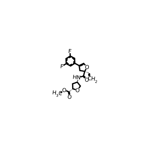 C=C[C@]1(C(=O)N[C@@H]2CO[C@H](C(=O)OC)C2)CC(c2cc(F)cc(F)c2)=CO1